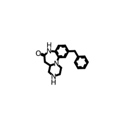 O=C1CC2CNCCN2c2cc(Cc3ccccc3)ccc2N1